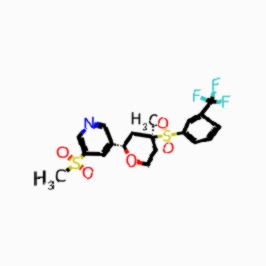 C[C@]1(S(=O)(=O)c2cccc(C(F)(F)F)c2)CCO[C@H](c2cncc(S(C)(=O)=O)c2)C1